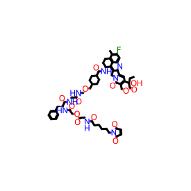 CC[C@@]1(O)C(=O)OCc2c1cc1n(c2=O)Cc2c-1nc1cc(F)c(C)c3c1c2[C@@H](NC(=O)C1CCC(COCNC(=O)CNC(=O)[C@H](Cc2ccccc2)NC(=O)COC(=O)CNC(=O)CCCCCN2C(=O)C=CC2=O)CC1)CC3